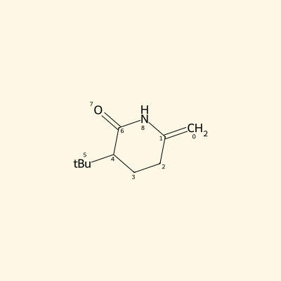 C=C1CCC(C(C)(C)C)C(=O)N1